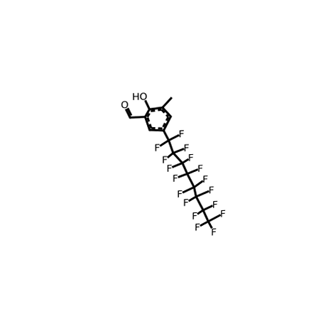 Cc1cc(C(F)(F)C(F)(F)C(F)(F)C(F)(F)C(F)(F)C(F)(F)C(F)(F)C(F)(F)F)cc(C=O)c1O